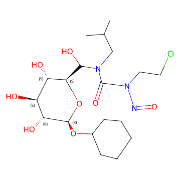 CC(C)CN(C(=O)N(CCCl)N=O)C(O)[C@H]1O[C@@H](OC2CCCCC2)[C@H](O)[C@@H](O)[C@@H]1O